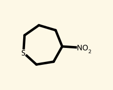 O=[N+]([O-])C1CCCSCC1